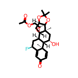 CC(=O)OCC(=O)[C@@]12OC(C)(C)O[C@@H]1C[C@H]1[C@@H]3C[C@H](F)C4=CC(=O)C=C[C@]4(C)[C@H]3[C@@H](O)C[C@@]12C